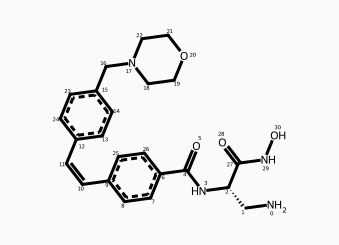 NC[C@H](NC(=O)c1ccc(/C=C\c2ccc(CN3CCOCC3)cc2)cc1)C(=O)NO